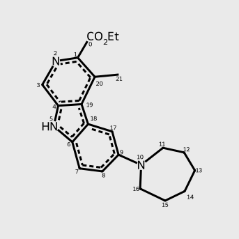 CCOC(=O)c1ncc2[nH]c3ccc(N4CCCCCC4)cc3c2c1C